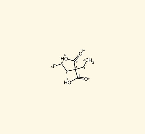 CCC(CCF)(C(=O)O)C(=O)O